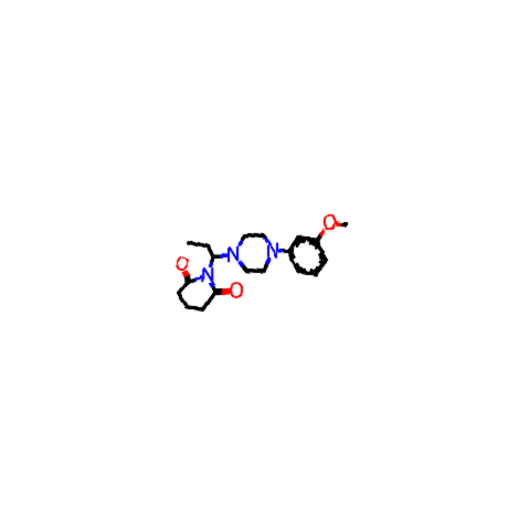 CCC(N1CCN(c2cccc(OC)c2)CC1)N1C(=O)CCCC1=O